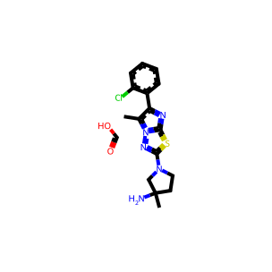 Cc1c(-c2ccccc2Cl)nc2sc(N3CCC(C)(N)C3)nn12.O=CO